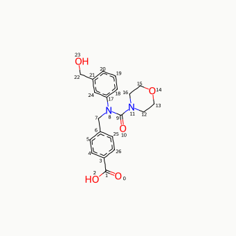 O=C(O)c1ccc(CN(C(=O)N2CCOCC2)c2cccc(CO)c2)cc1